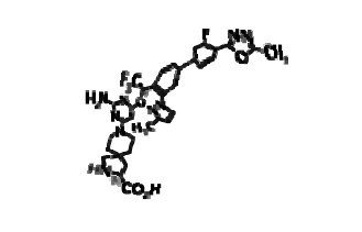 Cc1ccn(-c2cc(-c3ccc(-c4nnc(C)o4)c(F)c3)ccc2[C@@H](Oc2cc(N3CCC4(CC3)CN[C@H](C(=O)O)C4)nc(N)n2)C(F)(F)F)n1